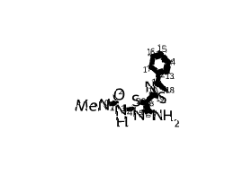 CNC(=O)Nc1nc(N)c(-c2nc(-c3c[c]ccc3)cs2)s1